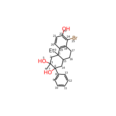 CCC12CC(C)(O)C(O)(c3ccccc3)CC1CCc1c2ccc(O)c1Br